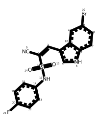 N#C/C(=C/c1c[nH]c2ccc(Br)cc12)S(=O)(=O)Nc1ccc(F)cc1